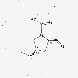 CO[C@@H]1C[C@H](C=O)N(C(=O)O)C1